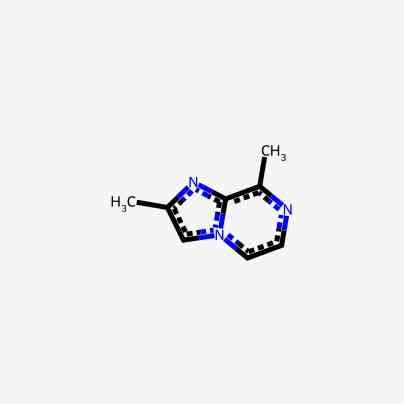 Cc1cn2ccnc(C)c2n1